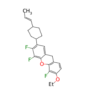 C/C=C/C1CCC(c2cc3c(c(F)c2F)Oc2c(ccc(OCC)c2F)C3)CC1